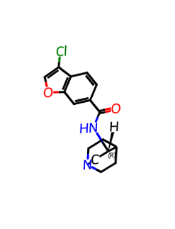 O=C(N[C@H]1CN2CCC1CC2)c1ccc2c(Cl)coc2c1